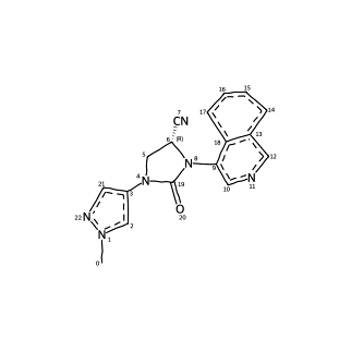 Cn1cc(N2C[C@H](C#N)N(c3cncc4ccccc34)C2=O)cn1